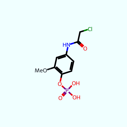 COc1cc(NC(=O)CCl)ccc1OP(=O)(O)O